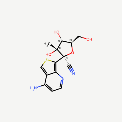 C[C@@]1(O)[C@H](O)[C@@H](CO)O[C@@]1(C#N)c1scc2c(N)ccnc12